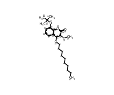 CCCCCCCCCCOc1c(OC)c(=O)oc2c(OC(C)(C)C)cccc12